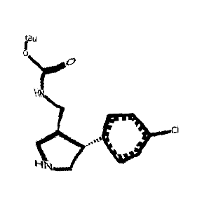 CC(C)(C)OC(=O)NC[C@@H]1CNC[C@H]1c1ccc(Cl)cc1